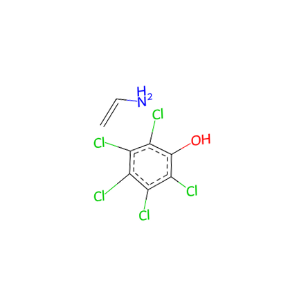 C=CN.Oc1c(Cl)c(Cl)c(Cl)c(Cl)c1Cl